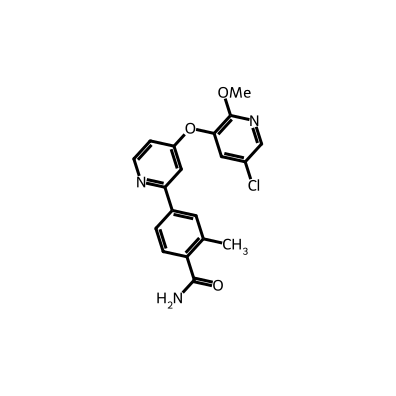 COc1ncc(Cl)cc1Oc1ccnc(-c2ccc(C(N)=O)c(C)c2)c1